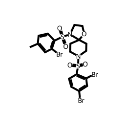 Cc1ccc(S(=O)(=O)N2CCOC23CCN(S(=O)(=O)c2ccc(Br)cc2Br)CC3)c(Br)c1